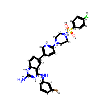 Nc1nc(Nc2cccc(Br)c2)c2cc(-c3ccc(N4CCN(S(=O)(=O)c5ccc(Cl)cc5)CC4)nc3)ccc2n1